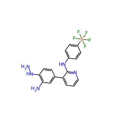 NNc1ccc(-c2cccnc2Nc2ccc(S(F)(F)(F)(F)F)cc2)cc1N